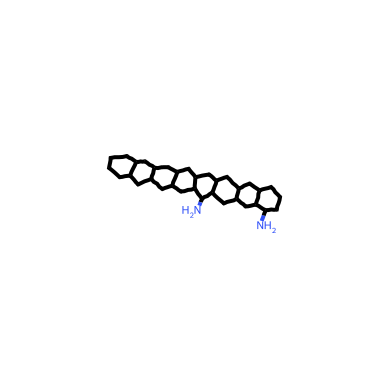 NC1CCCC2CC3CC4CC5CC6CC7CC8CCCCC8CC7CC6CC5C(N)C4CC3CC12